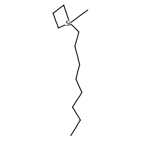 CCCCCCCC[Si]1(C)CCC1